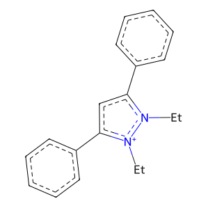 CCn1c(-c2ccccc2)cc(-c2ccccc2)[n+]1CC